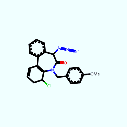 COc1ccc(CN2C(=O)C(N=[N+]=[N-])c3ccccc3C3=C2C(Cl)CC=C3)cc1